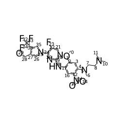 COc1cc(N(C)CCN(C)C)c([N+](=O)[O-])cc1Nc1ncc(F)c(-n2cc(C=O)c(C(F)(F)F)c2)n1